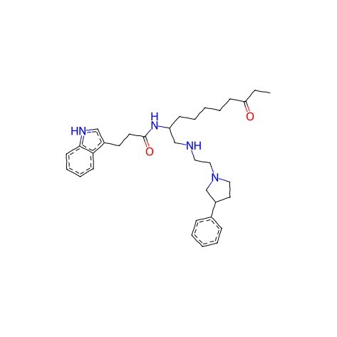 CCC(=O)CCCCCC(CNCCN1CCC(c2ccccc2)C1)NC(=O)CCc1c[nH]c2ccccc12